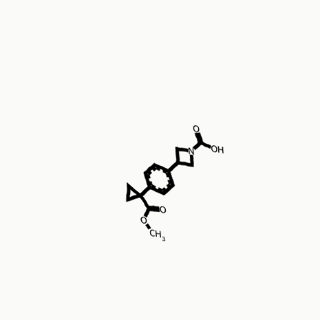 COC(=O)C1(c2ccc(C3CN(C(=O)O)C3)cc2)CC1